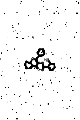 Nc1ccccc1C(=O)Oc1c(-c2ccccc2)oc2ccccc2c1=O